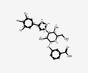 O=C(O)c1cccc(S[C@H]2OC(CO)[C@H](O)[C@H](n3cc(-c4cc(F)c(F)c(F)c4)nn3)C2O)c1